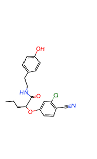 CCC[C@H](Oc1ccc(C#N)c(Cl)c1)C(=O)NCCc1ccc(O)cc1